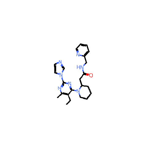 CCc1c(C)nc(-n2ccnc2)nc1N1CCCCC1CC(=O)NCc1ccccn1